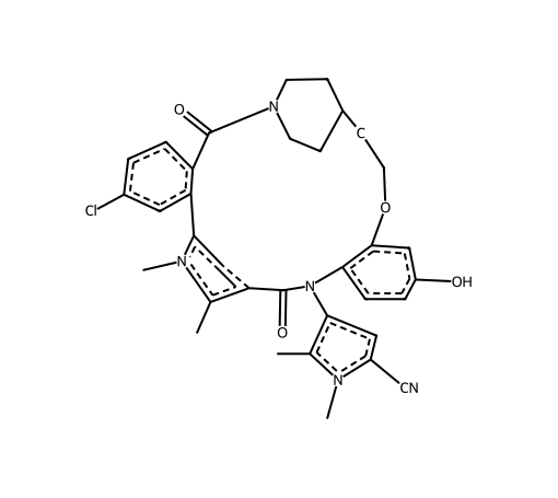 Cc1c(N2C(=O)c3cc(n(C)c3C)-c3cc(Cl)ccc3C(=O)N3CCC(CCOc4cc(O)ccc42)CC3)cc(C#N)n1C